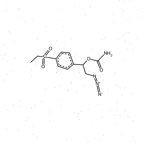 CCS(=O)(=O)c1ccc(C(CN=[N+]=[N-])OC(N)=O)cc1